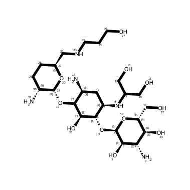 N[C@@H]1[C@@H](O)[C@@H](O[C@H]2[C@H](NC(CO)CO)C[C@H](N)C(O[C@H]3O[C@H](CNCCCO)CC[C@H]3N)[C@@H]2O)O[C@H](CO)[C@H]1O